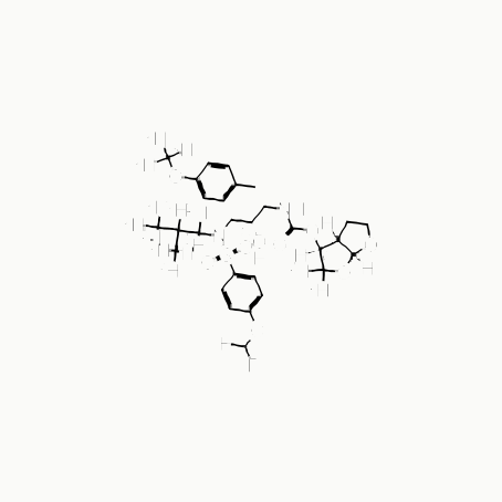 [2H]C([2H])([2H])Oc1ccc(C[C@H](NC(=O)O[C@]2([2H])[C@@H]3CCO[C@@H]3OC2([2H])[2H])[C@H](O)CN(C([2H])([2H])C([2H])(C([2H])([2H])[2H])C([2H])([2H])[2H])S(=O)(=O)c2ccc(OC(F)F)cc2)cc1